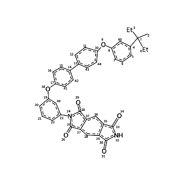 CCC(C)(CC)c1cccc(Oc2ccc(-c3ccc(Oc4cccc(-n5c(=O)c6cc7c(=O)[nH]c(=O)c7cc6c5=O)c4)cc3)cc2)c1